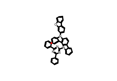 c1ccc(-c2nc(-c3ccccc3)nc(-n3c4ccccc4c4ccc5c(c6ccccc6n5-c5ccc6c(c5)oc5ccccc56)c43)n2)cc1